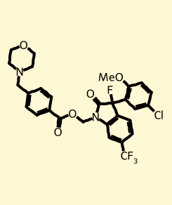 COc1ccc(Cl)cc1C1(F)C(=O)N(COC(=O)c2ccc(CN3CCOCC3)cc2)c2cc(C(F)(F)F)ccc21